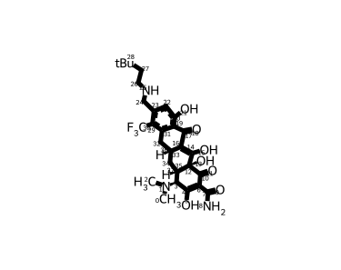 CN(C)[C@@H]1C(O)=C(C(N)=O)C(=O)[C@@]2(O)C(O)=C3C(=O)c4c(O)cc(CNCCC(C)(C)C)c(C(F)(F)F)c4C[C@H]3C[C@@H]12